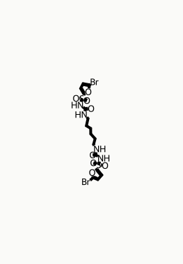 O=C(NCCCCCCNC(=O)NS(=O)(=O)c1ccc(Br)o1)NS(=O)(=O)c1ccc(Br)o1